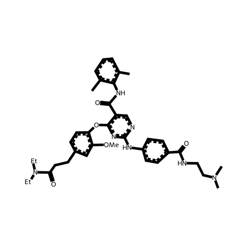 CCN(CC)C(=O)CCc1ccc(Oc2nc(Nc3ccc(C(=O)NCCN(C)C)cc3)ncc2C(=O)Nc2c(C)cccc2C)c(OC)c1